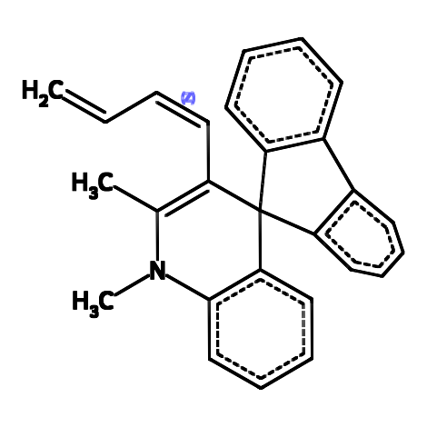 C=C/C=C\C1=C(C)N(C)c2ccccc2C12c1ccccc1-c1ccccc12